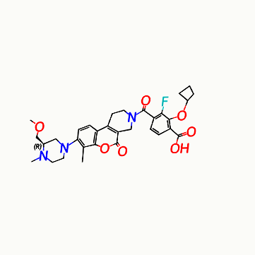 COC[C@H]1CN(c2ccc3c4c(c(=O)oc3c2C)CN(C(=O)c2ccc(C(=O)O)c(OC3CCC3)c2F)CC4)CCN1C